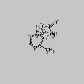 C=C.CC(=O)O.Cc1ccccc1